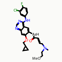 COCCN(C)CC=CC(=O)[AsH]c1cc2c(Nc3ccc(F)c(Cl)c3)ncnc2cc1OCC1CC1